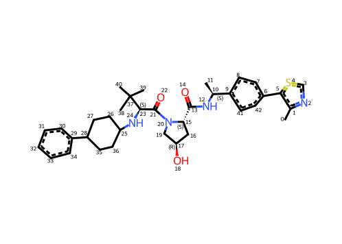 Cc1ncsc1-c1ccc([C@H](C)NC(=O)[C@@H]2C[C@@H](O)CN2C(=O)[C@@H](NC2CCC(c3ccccc3)CC2)C(C)(C)C)cc1